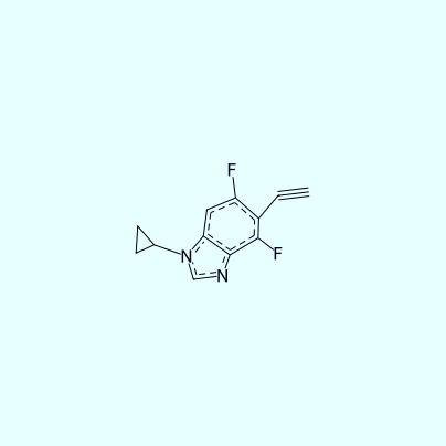 C#Cc1c(F)cc2c(ncn2C2CC2)c1F